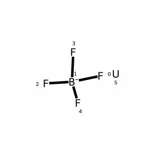 F[B-](F)(F)F.[U]